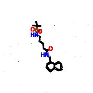 CC(C)(C)S(=O)(=O)NCCCCC(=O)NCc1cccc2ccccc12